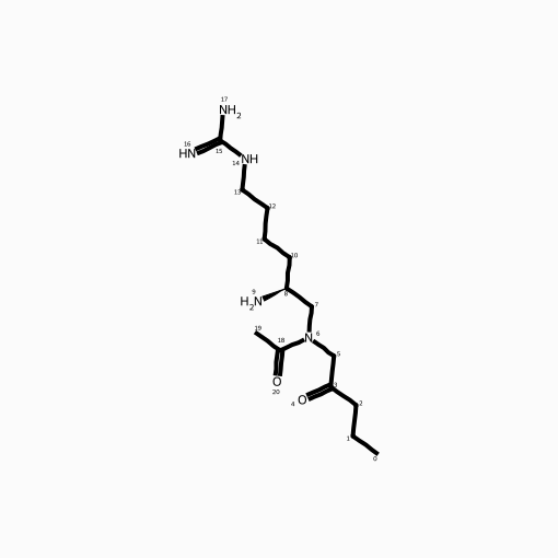 CCCC(=O)CN(C[C@@H](N)CCCCNC(=N)N)C(C)=O